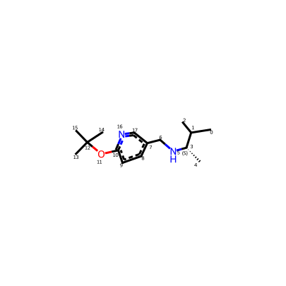 CC(C)[C@H](C)NCc1ccc(OC(C)(C)C)nc1